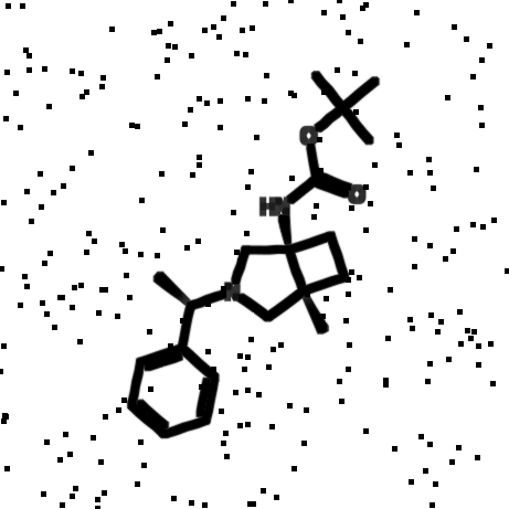 C[C@H](c1ccccc1)N1C[C@@]2(C)CC[C@@]2(NC(=O)OC(C)(C)C)C1